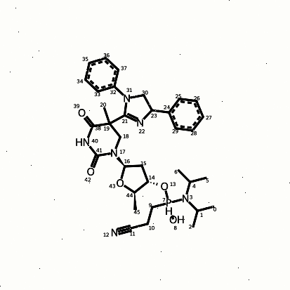 CC(C)N(C(C)C)[PH](O)(CCC#N)O[C@H]1C[C@H](N2CC(C)(C3=NC(c4ccccc4)CN3c3ccccc3)C(=O)NC2=O)O[C@@H]1C